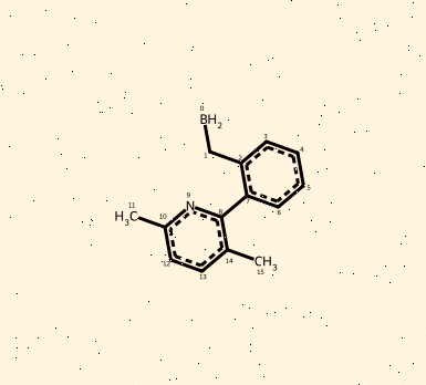 BCc1ccccc1-c1nc(C)ccc1C